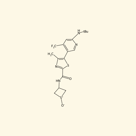 Cc1nc(C(=O)NC2C[S+]([O-])C2)sc1-c1cnc(NC(C)(C)C)cc1C(F)(F)F